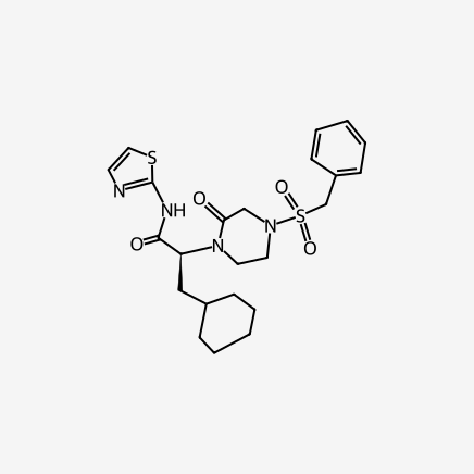 O=C(Nc1nccs1)[C@H](CC1CCCCC1)N1CCN(S(=O)(=O)Cc2ccccc2)CC1=O